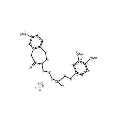 COc1ccc2c(c1)CC(=O)N(CCCN(C)CCc1ccc(OC)c(OC)c1)CC2.Cl.Cl